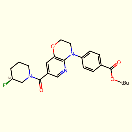 CC(C)(C)OC(=O)c1ccc(N2CCOc3cc(C(=O)N4CCC[C@H](F)C4)cnc32)cc1